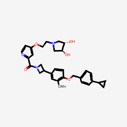 COc1cc(C2CN(C(=O)c3cc(OCCN4C[C@H](O)[C@@H](O)C4)ccn3)C2)ccc1OCc1ccc(C2CC2)cc1